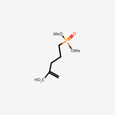 C=C(CCCP(=O)(OC)OC)C(=O)O